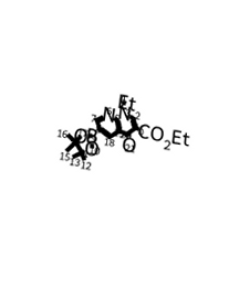 CCOC(=O)c1cn(CC)c2ncc(B3OC(C)(C)C(C)(C)O3)cc2c1=O